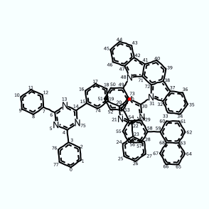 c1ccc(-c2nc(-c3ccccc3)nc(-c3cccc(-c4nc(-c5ccccc5)nc(-n5c6ccccc6c6ccc7c8ccccc8n(-c8cccc(-c9cccc(-c%10cccc%11ccccc%10%11)c9)c8)c7c65)n4)c3)n2)cc1